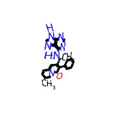 Cc1ccc2cc([C@@H](C)Nc3ncnc4[nH]cnc34)c(-c3ccccc3)c(=O)n2c1